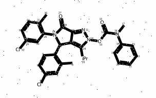 Cc1cc(Cl)ccc1C1c2c(nn(OC(=O)N(C)c3ccccc3)c2C(C)C)C(=O)N1c1cc(Cl)ccc1C